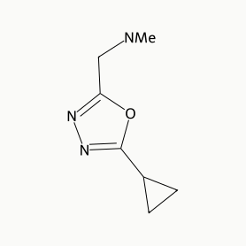 CNCc1nnc(C2CC2)o1